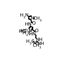 CN(C)C(=N)NCCNC(=O)c1cc(NC(=O)c2cc(N)cn2C)cn1C.Cl.Cl